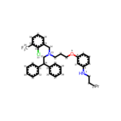 CC(C)CCNc1cccc(OCCCN(Cc2cccc(C(F)(F)F)c2Cl)CC(c2ccccc2)c2ccccc2)c1